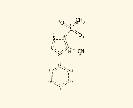 CS(=O)(=O)c1scc(-c2ccccc2)c1C#N